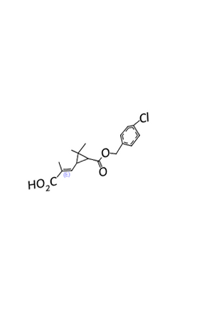 C/C(=C\C1C(C(=O)OCc2ccc(Cl)cc2)C1(C)C)C(=O)O